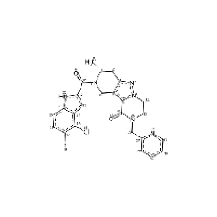 C[C@@H]1Cc2nn3c(c2CN1C(=O)c1cc2c(Cl)c(F)ccc2[nH]1)C(=O)N(Cc1ccccn1)CC3